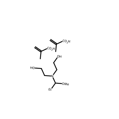 C=C(C)C(=O)O.C=C(C)C(=O)O.CCC(OC)N(CCO)CCO